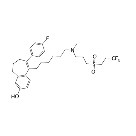 CN(CCCCCCC1=C(c2ccc(F)cc2)CCCc2cc(O)ccc21)CCCS(=O)(=O)CCC(F)(F)F